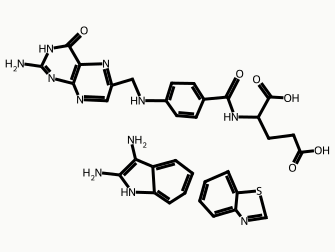 Nc1[nH]c2ccccc2c1N.Nc1nc2ncc(CNc3ccc(C(=O)NC(CCC(=O)O)C(=O)O)cc3)nc2c(=O)[nH]1.c1ccc2scnc2c1